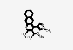 Cc1nc2cc3c(cc2c(-c2cnn(C)c2)c1C(OC(C)(C)C)C(=O)O)CCCC3